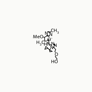 COC(c1cnc(C)cn1)C(C)[S+]([O-])Nc1nnc(CCOCCO)n1C1(C2CC2)CC1